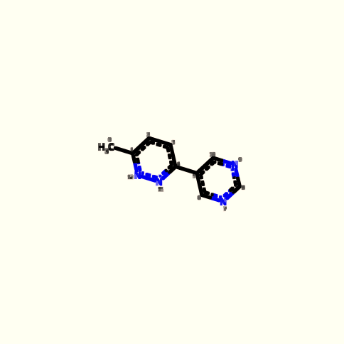 Cc1ccc(-c2cncnc2)nn1